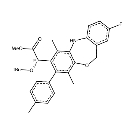 COC(=O)[C@@H](OC(C)(C)C)c1c(C)c2c(c(C)c1-c1ccc(C)cc1)OCc1cc(F)ccc1N2